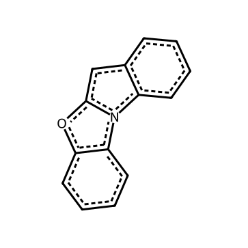 c1ccc2c(c1)cc1oc3ccccc3n12